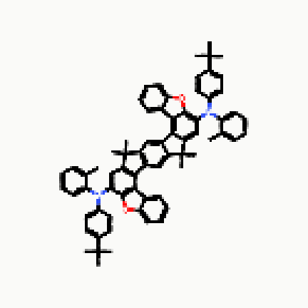 Cc1ccccc1N(c1ccc(C(C)(C)C)cc1)c1cc2c(c3c1oc1ccccc13)-c1cc3c(cc1C2(C)C)-c1c(cc(N(c2ccc(C(C)(C)C)cc2)c2ccccc2C)c2oc4ccccc4c12)C3(C)C